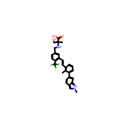 Cc1c(C=Cc2cc(CNC(C)(CO)C(=O)O)ccc2C(F)(F)F)cccc1-c1ccc2cn(C)nc2c1